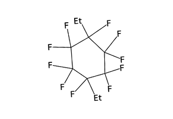 CCC1(F)C(F)(F)C(F)(F)C(F)(CC)C(F)(F)C1(F)F